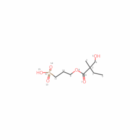 CCC(C)(CO)C(=O)OCCCS(=O)(=O)O